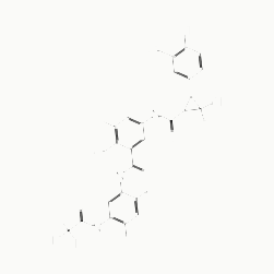 O=C(Nc1cc(NC(=O)C(F)(F)F)c(F)cc1F)c1cc(NC(=O)C2[C@H](c3ccc(Cl)c(Cl)c3)C2(Cl)Cl)cc(F)c1Cl